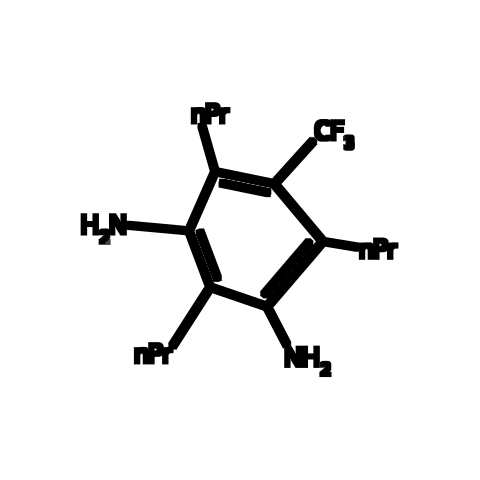 CCCc1c(N)c(CCC)c(C(F)(F)F)c(CCC)c1N